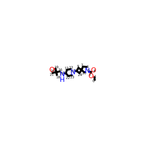 CCOC(=O)N1CCC2(CC(N3CCC(NCC4(C)COC4)CC3)C2)C1